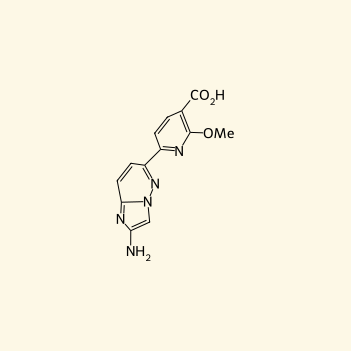 COc1nc(-c2ccc3nc(N)cn3n2)ccc1C(=O)O